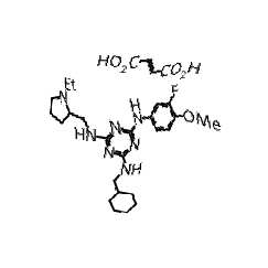 CCN1CCCC1CNc1nc(NCC2CCCCC2)nc(Nc2ccc(OC)c(F)c2)n1.O=C(O)C=CC(=O)O